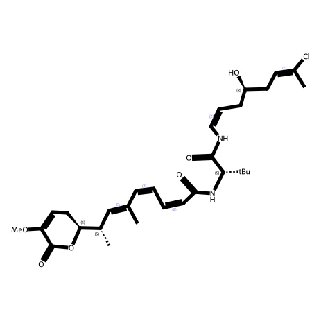 COC1=CC[C@@H]([C@@H](C)/C=C(C)/C=C\C=C/C(=O)N[C@H](C(=O)N/C=C\C[C@@H](O)C/C=C(\C)Cl)C(C)(C)C)OC1=O